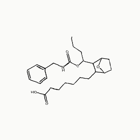 CCCC(OC(=O)NCc1ccccc1)C1C2CCC(O2)C1CCCCCCC(=O)O